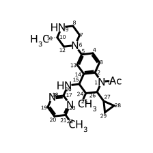 CC(=O)N1c2ccc(N3CCN[C@@H](C)C3)cc2C(Nc2nccc(C)n2)C(C)C1C1CC1